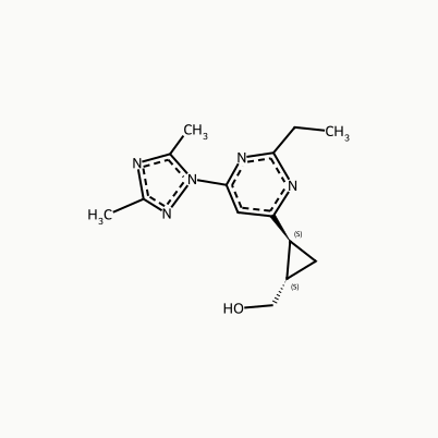 CCc1nc([C@H]2C[C@@H]2CO)cc(-n2nc(C)nc2C)n1